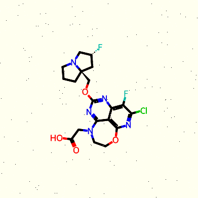 O=C(O)CN1CCOc2nc(Cl)c(F)c3nc(OC[C@@]45CCCN4C[C@H](F)C5)nc1c23